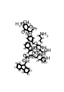 CC(C)CC(Nc1ccc(COC(=O)[C@H](CCCCN)NC(=O)[C@@H](CO)NC(=O)[C@H](Cc2c[nH]cn2)NC(=O)[C@@H](Cc2c[nH]c3ccccc23)NC(=O)OCC2c3ccccc3-c3ccccc32)cc1)=C1C(=O)CC(C)(C)CC1=O